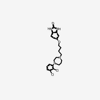 O=c1[nH]c2ccc(OCCCCN3CCCN(c4cccc(Cl)c4Cl)CC3)cc2[nH]1